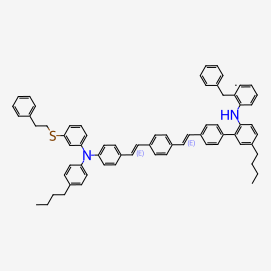 CCCCc1ccc(N(c2ccc(/C=C/c3ccc(/C=C/c4ccc(-c5cc(CCCC)ccc5Nc5ccc[c]c5Cc5ccccc5)cc4)cc3)cc2)c2cccc(SCCc3ccccc3)c2)cc1